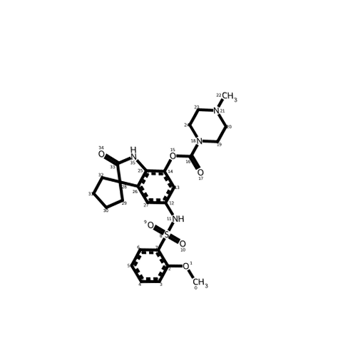 COc1ccccc1S(=O)(=O)Nc1cc(OC(=O)N2CCN(C)CC2)c2c(c1)C1(CCCC1)C(=O)N2